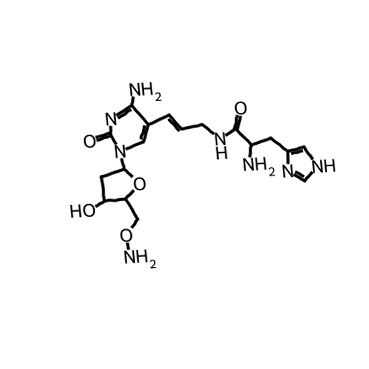 NOCC1OC(n2cc(/C=C/CNC(=O)C(N)Cc3c[nH]cn3)c(N)nc2=O)CC1O